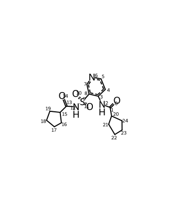 O=C(Nc1ccncc1S(=O)(=O)NC(=O)C1CCCC1)C1CCCC1